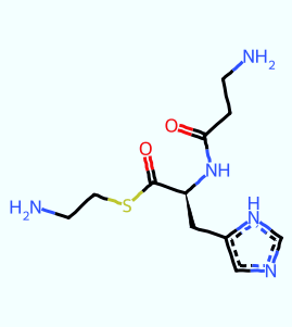 NCCSC(=O)[C@H](Cc1cnc[nH]1)NC(=O)CCN